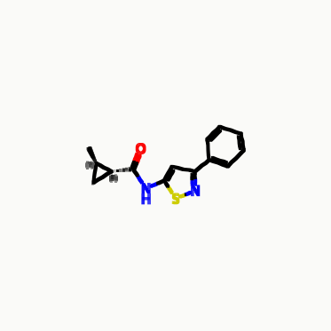 C[C@@H]1C[C@H]1C(=O)Nc1cc(-c2ccccc2)ns1